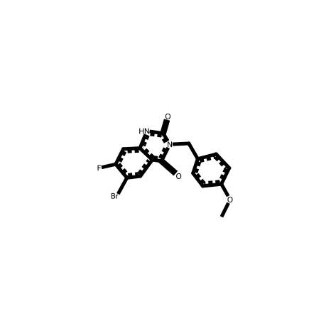 COc1ccc(Cn2c(=O)[nH]c3cc(F)c(Br)cc3c2=O)cc1